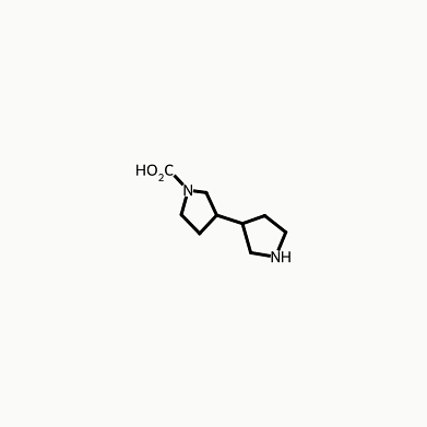 O=C(O)N1CCC(C2CCNC2)C1